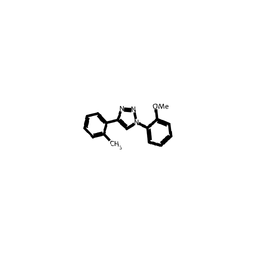 COc1ccccc1-n1cc(-c2ccccc2C)nn1